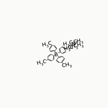 C[N+](C)(C)C.Cc1ccc([B-](c2ccc(C)cc2)(c2ccc(C)cc2)c2ccc(C)cc2)cc1